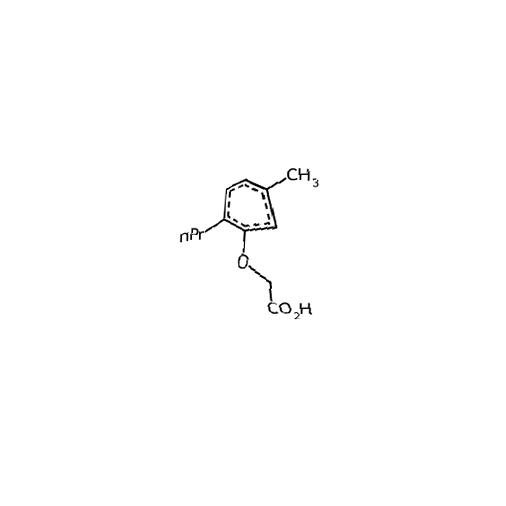 CCCc1ccc(C)cc1OCC(=O)O